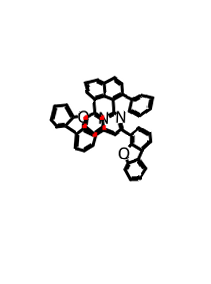 c1ccc(-c2ccc3cccc(-c4ccccc4)c3c2-c2nc(-c3cccc4c3oc3ccccc34)cc(-c3cccc4c3oc3ccccc34)n2)cc1